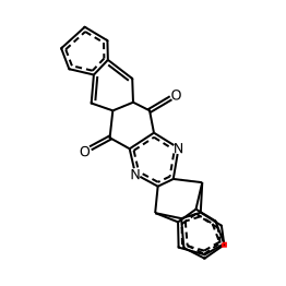 O=C1c2nc3c(nc2C(=O)C2C=c4ccccc4=CC12)C1c2ccccc2C3c2ccccc21